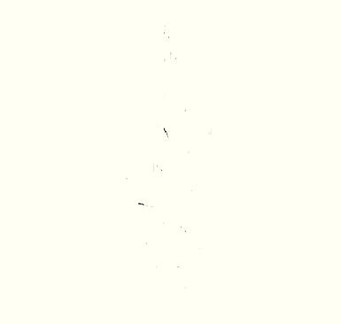 COc1ccc([C@@H](OC)C(=O)N[C@@H](CCC(=O)C=[N+]=[N-])C(=O)O)nc1